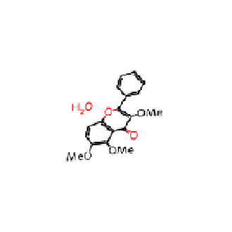 COc1ccc2oc(-c3ccccc3)c(OC)c(=O)c2c1OC.O